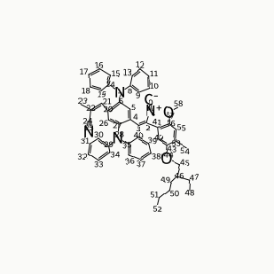 [C-]#[N+]/C(=C\c1cc(N(c2ccccc2)c2ccccc2)c(/C=C(/C)C#N)cc1N(c1ccccc1)c1ccccc1)c1cc(OCC(CC)CCCC)c(C)cc1OC